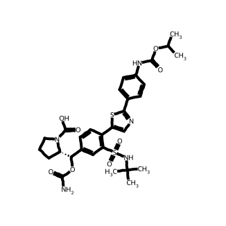 CC(C)OC(=O)Nc1ccc(-c2ncc(-c3ccc(C(OC(N)=O)[C@@H]4CCCN4C(=O)O)cc3S(=O)(=O)NC(C)(C)C)s2)cc1